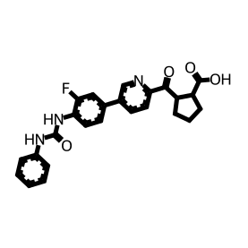 O=C(Nc1ccccc1)Nc1ccc(-c2ccc(C(=O)C3CCCC3C(=O)O)nc2)cc1F